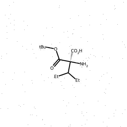 CCC(CC)[C@@](N)(C(=O)O)C(=O)OC(C)(C)C